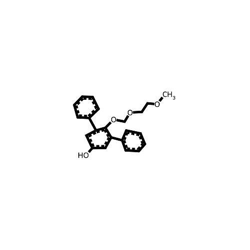 COCCOCOc1c(-c2ccccc2)cc(O)cc1-c1ccccc1